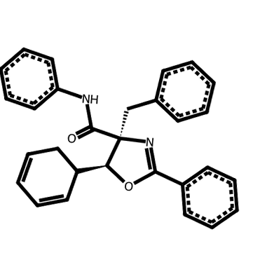 O=C(Nc1ccccc1)[C@@]1(Cc2ccccc2)N=C(c2ccccc2)O[C@H]1C1C=CC=CC1